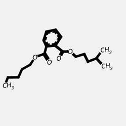 CCCCCOC(=O)c1ccccc1C(=O)OCCCC(C)C